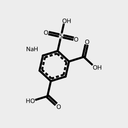 O=C(O)c1ccc(S(=O)(=O)O)c(C(=O)O)c1.[NaH]